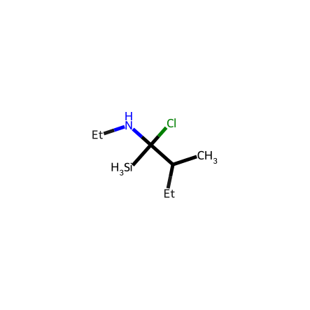 CCNC([SiH3])(Cl)C(C)CC